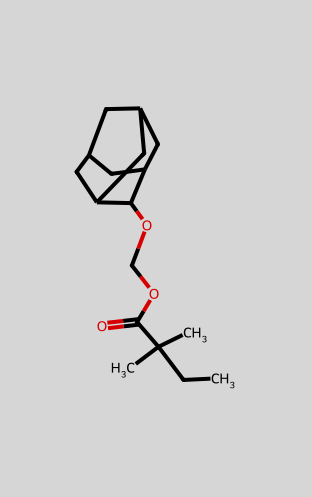 CCC(C)(C)C(=O)OCOC1C2CC3CC(C2)CC1C3